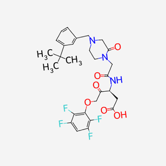 CC(C)(C)c1cccc(CN2CCN(CC(=O)N[C@@H](CC(=O)O)C(=O)COc3c(F)c(F)cc(F)c3F)C(=O)C2)c1